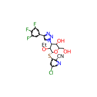 CCOC1C(n2cc(-c3cc(F)c(F)c(F)c3)nn2)[C@@H](O)C(CO)O[C@@H]1Sc1cc(Cl)cnc1C#N